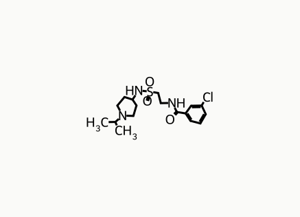 CC(C)N1CCC(NS(=O)(=O)CCNC(=O)c2cccc(Cl)c2)CC1